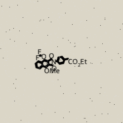 CCOC(=O)Cc1ccc(N2C(=O)c3c(c(OC(F)F)c4ccccc4c3OC)C2=O)cc1